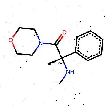 CN[C@](C)(C(=O)N1CCOCC1)c1ccccc1